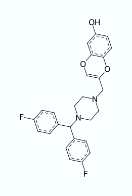 Oc1ccc2c(c1)OC=C(CN1CCN(C(c3ccc(F)cc3)c3ccc(F)cc3)CC1)O2